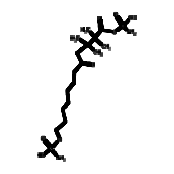 CC(C)(CC(=O)CCCCCCCOP(N)(=O)O)C(C)(C)C(=O)OP(N)(=O)O